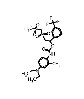 CCN(CC)c1ccc(NC(=O)OC(CS(=O)(=O)CS(C)(=O)=O)c2cccc(C(F)(F)F)c2)c(C)c1